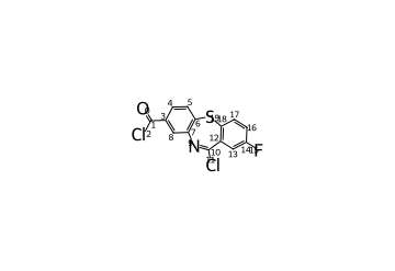 O=C(Cl)c1ccc2c(c1)N=C(Cl)c1cc(F)ccc1S2